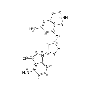 Cc1cc2c(c(O[C@@H]3CCC(n4cc(Cl)c5c(N)ncnc54)C3)c1)CNCC2